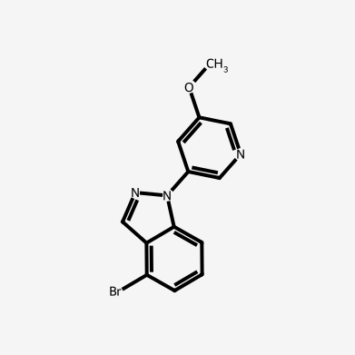 COc1cncc(-n2ncc3c(Br)cccc32)c1